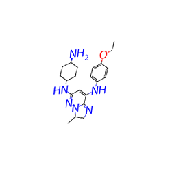 CCOc1ccc(NC2=CC(N[C@H]3CC[C@H](N)CC3)=NN3C2=NCC3C)cc1